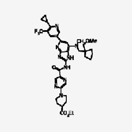 CCOC(=O)C1CCN(c2cnc(C(=O)Nc3nc4nc(-c5cnc(C6CC6)c(C(F)(F)F)c5)cc(N(C)CC5(COC)CCCC5)c4[nH]3)cn2)CC1